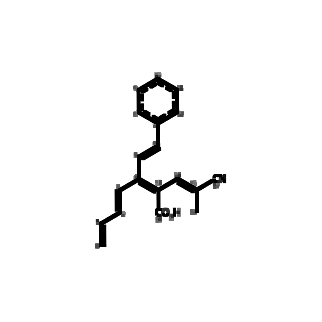 C=CC=CC(C=Cc1ccccc1)=C(C=C(C)C#N)C(=O)O